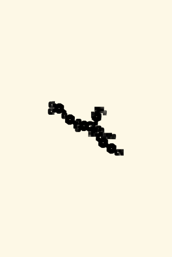 COC(=O)C(Cc1ccc(-c2ccc(C#N)cc2)cc1)NC(=O)C1Cc2cc3c(cc2CN1Cc1ccc(N)nc1)OC(c1ccc(OCc2ccc(Cl)c(Cl)c2)cc1)CO3